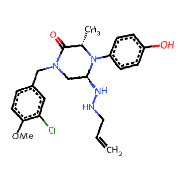 C=CCNN[C@H]1CN(Cc2ccc(OC)c(Cl)c2)C(=O)[C@H](C)N1c1ccc(O)cc1